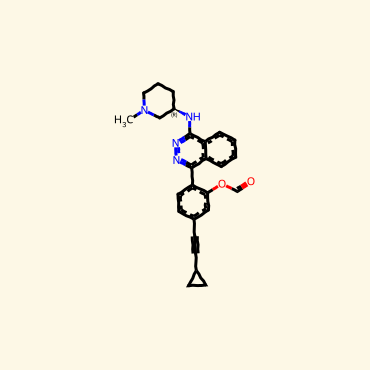 CN1CCC[C@@H](Nc2nnc(-c3ccc(C#CC4CC4)cc3OC=O)c3ccccc23)C1